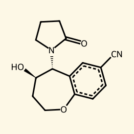 N#Cc1ccc2c(c1)[C@@H](N1CCCC1=O)[C@H](O)CCO2